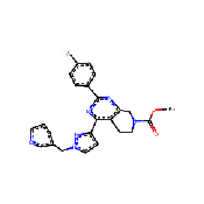 CC(C)(C)OC(=O)N1CCc2c(nc(-c3ccc(C(F)(F)F)cc3)nc2-c2ccn(Cc3cccnc3)n2)C1